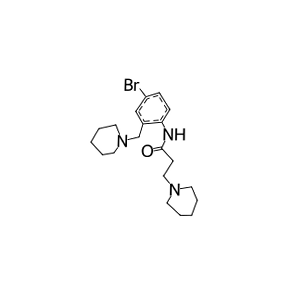 O=C(CCN1CCCCC1)Nc1ccc(Br)cc1CN1CCCCC1